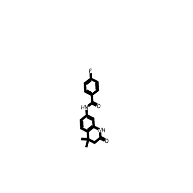 CC1(C)CC(=O)Nc2cc(NC(=O)c3ccc(F)cc3)ccc21